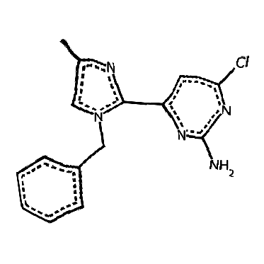 Cc1cn(Cc2ccccc2)c(-c2cc(Cl)nc(N)n2)n1